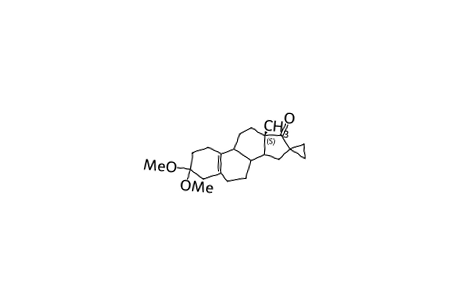 COC1(OC)CCC2=C(CCC3C2CC[C@]2(C)C(=O)C4(CC4)CC32)C1